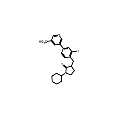 O=C(O)c1cncc(-c2ccc(CC3CCN(C4CCCCC4)C3=O)c(Cl)c2)c1